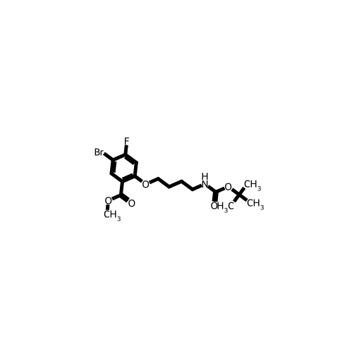 COC(=O)c1cc(Br)c(F)cc1OCCCCNC(=O)OC(C)(C)C